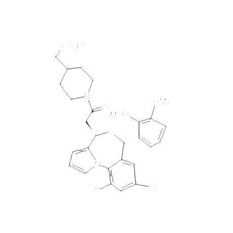 CCOC(=O)CC1CCN(C(=O)C[C@H]2O[C@H](c3cccc(OC)c3OC)c3cc(Cl)cc(F)c3-n3cccc32)CC1